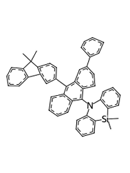 CC1(C)c2ccccc2-c2cc(-c3c4ccccc4c(N4c5ccccc5[Si](C)(C)c5ccccc54)c4ccc(-c5ccccc5)cc34)ccc21